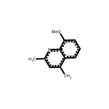 [CH2]Oc1cccc2c(C)cc(C)nc12